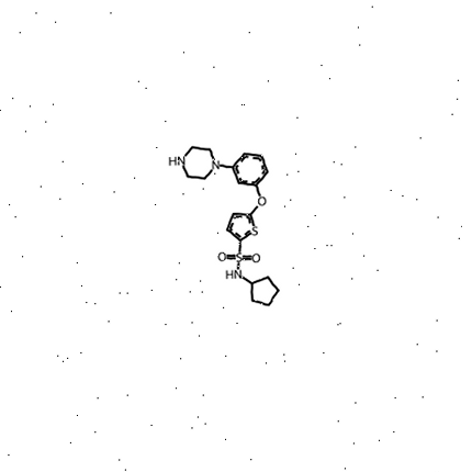 O=S(=O)(NC1CCCC1)c1ccc(Oc2cccc(N3CCNCC3)c2)s1